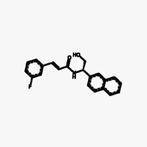 O=C(C=Cc1cccc(F)c1)N[C@@H](CO)c1ccc2ccccc2c1